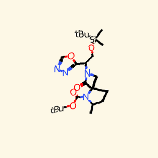 CC1CCC2(CN(C(CO[Si](C)(C)C(C)(C)C)c3nnco3)C2=O)N1C(=O)OC(C)(C)C